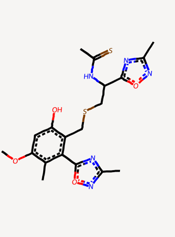 COc1cc(O)c(CSCC(NC(C)=S)c2nc(C)no2)c(-c2nc(C)no2)c1C